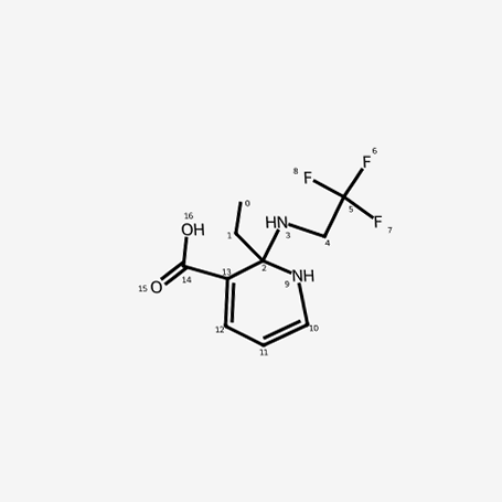 CCC1(NCC(F)(F)F)NC=CC=C1C(=O)O